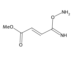 COC(=O)/C=C/C(=N)ON